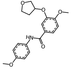 COc1ccc(NC(=O)c2ccc(OC)c(OC3CCOC3)c2)cc1